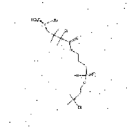 CCC(C)(C(=O)OCCOP(=O)(O)OCC[N+](C)(C)CC)C(C)(C)C[C@@H](C(=O)O)C(C)(C)C